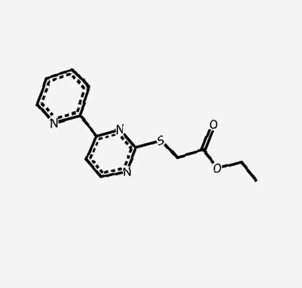 CCOC(=O)CSc1nccc(-c2ccccn2)n1